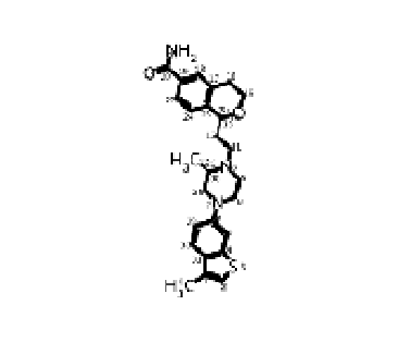 Cc1csc2cc(N3CCN(CC[C@@H]4OCCc5cc(C(N)=O)ccc54)[C@H](C)C3)ccc12